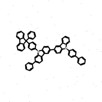 c1ccc(-c2ccc(-n3c4ccccc4c4cc(-c5ccc6c(c5)c5ccc(-c7ccccc7)cc5n6-c5ccc(C6(c7ccccc7)c7ccccc7-c7ccccc76)cc5)ccc43)cc2)cc1